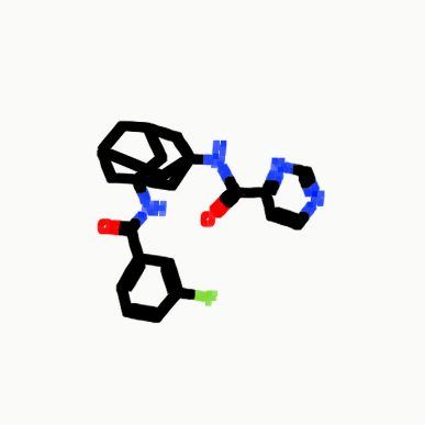 O=C(NC12CC3CC(C1)CC(NC(=O)c1ccncn1)(C3)C2)c1cccc(F)c1